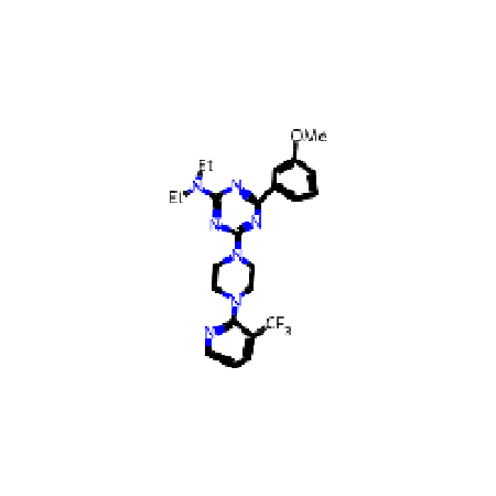 CCN(CC)c1nc(-c2cccc(OC)c2)nc(N2CCN(c3ncccc3C(F)(F)F)CC2)n1